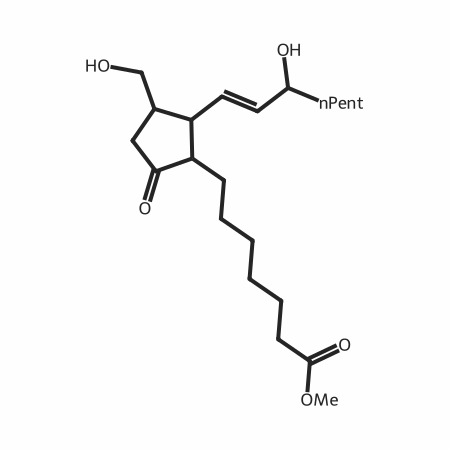 CCCCCC(O)C=CC1C(CO)CC(=O)C1CCCCCCC(=O)OC